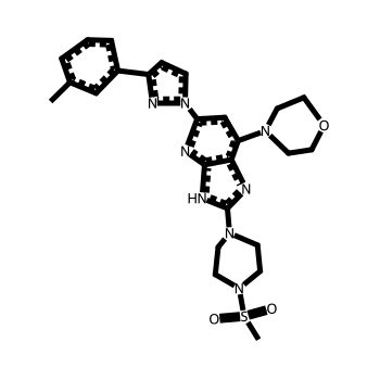 Cc1cccc(-c2ccn(-c3cc(N4CCOCC4)c4nc(N5CCN(S(C)(=O)=O)CC5)[nH]c4n3)n2)c1